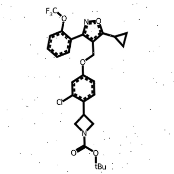 CC(C)(C)OC(=O)N1CC(c2ccc(OCc3c(-c4ccccc4OC(F)(F)F)noc3C3CC3)cc2Cl)C1